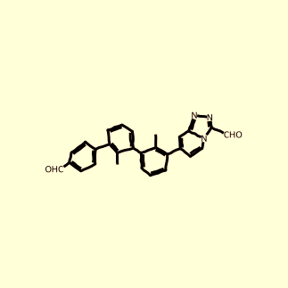 Cc1c(-c2ccc(C=O)cc2)cccc1-c1cccc(-c2ccn3c(C=O)nnc3c2)c1C